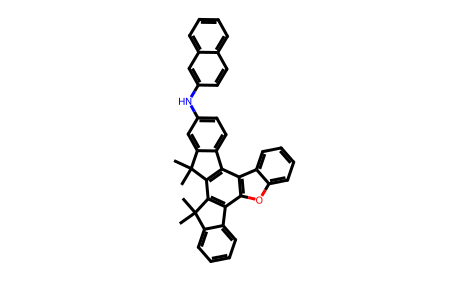 CC1(C)c2ccccc2-c2c1c1c(c3c2oc2ccccc23)-c2ccc(Nc3ccc4ccccc4c3)cc2C1(C)C